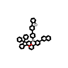 c1ccc(-c2ccc(-c3ccc4ccccc4c3)cc2N(c2ccc(-c3ccc4c(c3)oc3ccccc34)cc2)c2ccc3c(c2)C(c2ccccc2)(c2ccccc2)c2ccccc2-3)cc1